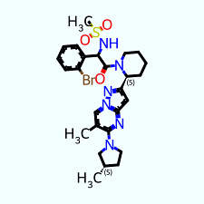 Cc1cn2nc([C@@H]3CCCCN3C(=O)C(NS(C)(=O)=O)c3ccccc3Br)cc2nc1N1CC[C@H](C)C1